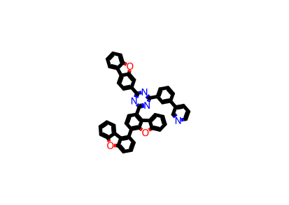 c1cncc(-c2cccc(-c3nc(-c4ccc5c(c4)oc4ccccc45)nc(-c4ccc(-c5cccc6oc7ccccc7c56)c5oc6ccccc6c45)n3)c2)c1